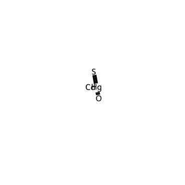 [Cd].[O]=[Hg]=[S]